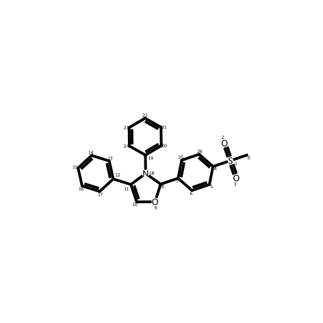 CS(=O)(=O)c1ccc(C2OC=C(c3ccccc3)N2c2ccccc2)cc1